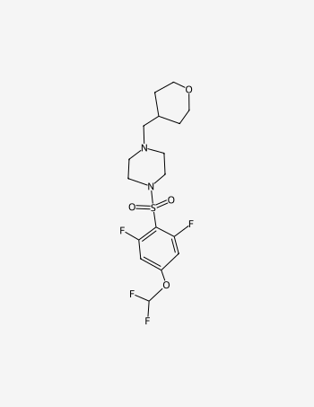 O=S(=O)(c1c(F)cc(OC(F)F)cc1F)N1CCN(CC2CCOCC2)CC1